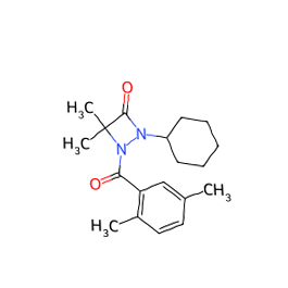 Cc1ccc(C)c(C(=O)N2N(C3CCCCC3)C(=O)C2(C)C)c1